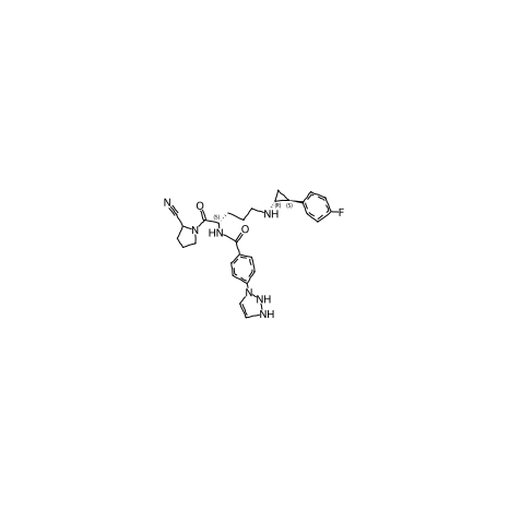 N#CC1CCCN1C(=O)[C@H](CCCN[C@@H]1C[C@H]1c1ccc(F)cc1)NC(=O)c1ccc(N2C=CNN2)cc1